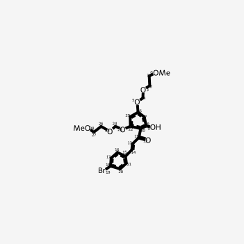 COCCOCOc1cc(O)c(C(=O)C=Cc2ccc(Br)cc2)c(OCOCCOC)c1